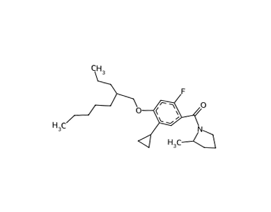 CCCCCC(CCC)COc1cc(F)c(C(=O)N2CCCC2C)cc1C1CC1